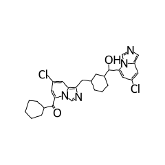 O=C(c1cc(Cl)cc2c(CC3CCCC(C(O)c4cc(Cl)cc5cncn45)C3)ncn12)C1CCCCC1